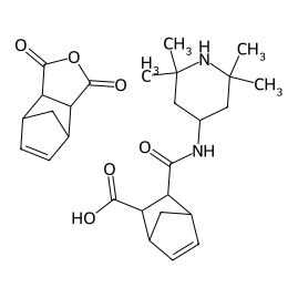 CC1(C)CC(NC(=O)C2C3C=CC(C3)C2C(=O)O)CC(C)(C)N1.O=C1OC(=O)C2C3C=CC(C3)C12